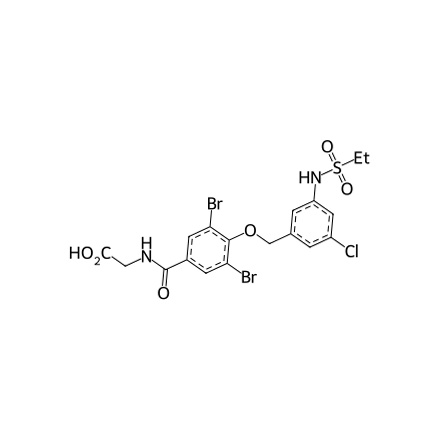 CCS(=O)(=O)Nc1cc(Cl)cc(COc2c(Br)cc(C(=O)NCC(=O)O)cc2Br)c1